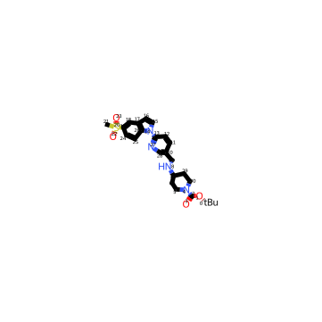 CC(C)(C)OC(=O)N1CCC(NCc2ccc(-n3ccc4cc(S(C)(=O)=O)ccc43)nc2)CC1